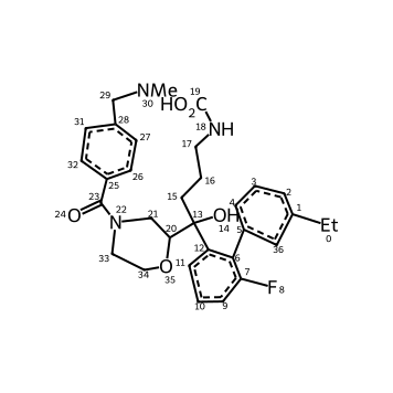 CCc1cccc(-c2c(F)cccc2C(O)(CCCNC(=O)O)C2CN(C(=O)c3ccc(CNC)cc3)CCO2)c1